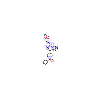 O=C(c1ccccc1)N1CC=C(c2cnc(NCc3ccco3)n3cnnc23)CC1